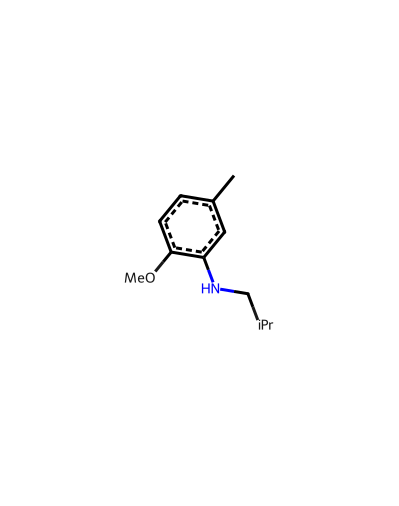 COc1ccc(C)cc1NCC(C)C